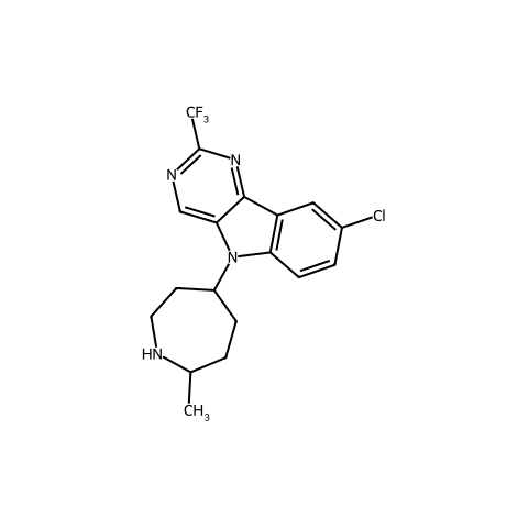 CC1CCC(n2c3ccc(Cl)cc3c3nc(C(F)(F)F)ncc32)CCN1